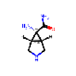 NC(=O)[C@@]1(N)[C@@H]2CNC[C@@H]21